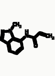 C=CC(=O)Nc1cccc2cnn(C)c12